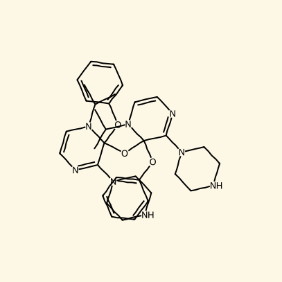 CC(C)N1C=CN=C(N2CCNCC2)C1(Oc1ccccc1)OC1(Oc2ccccc2)C(N2CCNCC2)=NC=CN1C(C)C